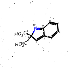 O=C(O)C1(C(=O)O)C=c2ccccc2=N1